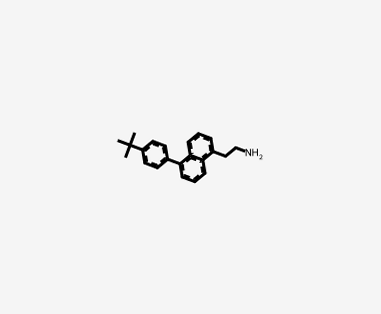 CC(C)(C)c1ccc(-c2cccc3c(CCN)cccc23)cc1